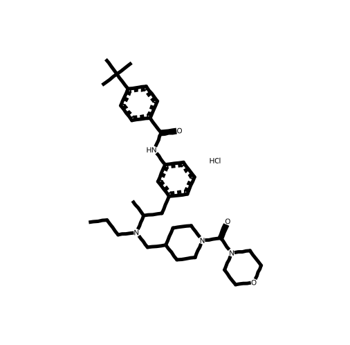 CCCN(CC1CCN(C(=O)N2CCOCC2)CC1)C(C)Cc1cccc(NC(=O)c2ccc(C(C)(C)C)cc2)c1.Cl